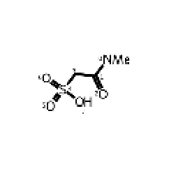 CNC(=O)CS(=O)(=O)O